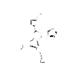 COc1ccc(C(=O)O[C@@H](Cc2c(Cl)cncc2Cl)c2ccc(OC(F)F)c(OCC3CC3)c2)s1